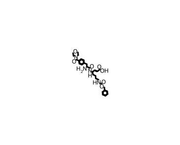 N[C@@H](Cc1ccc(C(=O)N2CCOCC2)cc1)C(=O)NC(C=CC(=O)O)CCCCNC(=O)OCc1ccccc1